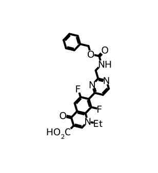 CCn1cc(C(=O)O)c(=O)c2cc(F)c(-c3ccnc(CNC(=O)OCc4ccccc4)n3)c(F)c21